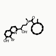 Cc1ccccccccc1C(=O)N(C)CCC(O)c1ccc2ccc(O)c(Br)c2n1